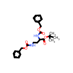 CC(C)(C)OC(=O)C(CCNC(=O)OCc1ccccc1)NC(=O)OCc1ccccc1